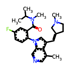 Cc1cncc2c1c(/C=C1/CCN(C)C1)cn2-c1ccc(F)cc1C(=O)N(C)C(C)C